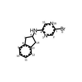 Brc1cnc(NC2Cc3ccccc3C2)cn1